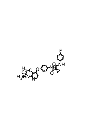 CC1(C)COc2c(Oc3ccc(NC(=O)C4(C(=O)Nc5ccc(F)cc5)CC4)cc3)ccnc2N1